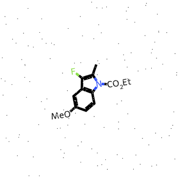 CCOC(=O)n1c(C)c(F)c2cc(OC)ccc21